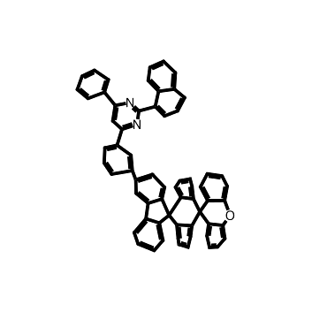 c1ccc(-c2cc(-c3cccc(-c4ccc5c(c4)-c4ccccc4C54c5ccccc5C5(c6ccccc6Oc6ccccc65)c5ccccc54)c3)nc(-c3cccc4ccccc34)n2)cc1